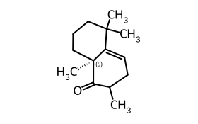 CC1CC=C2C(C)(C)CCC[C@]2(C)C1=O